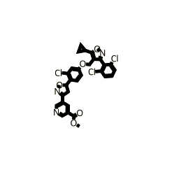 COC(=O)c1cncc(C2=NOC(c3ccc(OCc4c(-c5c(Cl)cccc5Cl)noc4C4CC4)cc3Cl)C2)c1